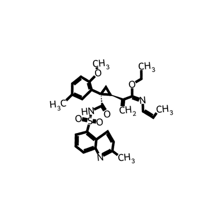 C=C(/C(=N\C=C/C)OCC)[C@@H]1C[C@]1(C(=O)NS(=O)(=O)c1cccc2nc(C)ccc12)c1cc(C)ccc1OC